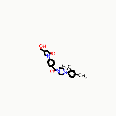 Cc1ccc(N2CCN(C(=O)c3ccc(N4CC(CO)CC4=O)cc3)CC2)c(C)c1